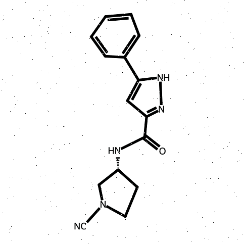 N#CN1CC[C@@H](NC(=O)c2cc(-c3ccccc3)[nH]n2)C1